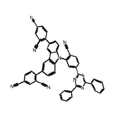 N#Cc1ccc(-c2ccc3c(c2)c2cc(-c4ccc(C#N)cc4C#N)ccc2n3-c2cc(-c3nc(-c4ccccc4)nc(-c4ccccc4)n3)ccc2C#N)c(C#N)c1